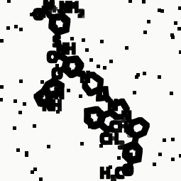 COc1ccc(C2CCCC(N3CCN(C4CC5(CCN(c6ccc(C(=O)NSc7ccc(N)c([N+](=O)[O-])c7)c(Oc7cnc8[nH]ccc8c7)c6)CC5)C4)C(c4ccccc4C(C)C)C3)C2)cc1